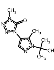 Cc1c(-n2nnn(C)c2=O)cnn1C(C)(C)C